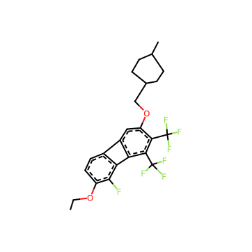 CCOc1ccc2c(c1F)-c1c-2cc(OCC2CCC(C)CC2)c(C(F)(F)F)c1C(F)(F)F